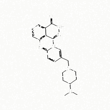 CN(C)C1CCN(CC2=CN3C(=Nc4cccc5c(=O)[nH]nc3c45)C=C2)CC1